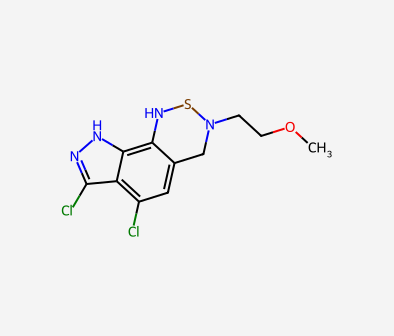 COCCN1Cc2cc(Cl)c3c(Cl)n[nH]c3c2NS1